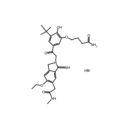 Br.CCOc1cc2c(cc1CC(=O)NC)C(=N)N(CC(=O)c1cc(OCCCC(N)=O)c(O)c(C(C)(C)C)c1)C2